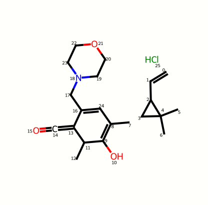 C=CC1CC1(C)C.CC1=C(O)C(C)C(=C=O)C(CN2CCOCC2)=C1.Cl